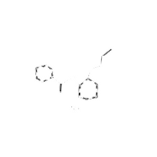 C=CCOc1ccccc1OC(=O)c1ccccc1.[NaH]